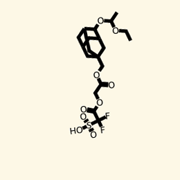 CCOC(C)OC1C2CC3CC1CC(COC(=O)COC(=O)C(F)(F)S(=O)(=O)O)(C3)C2